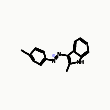 Cc1ccc(/N=N/c2c(C)[nH]c3ccccc23)cc1